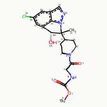 CC(C)(C)OC(=O)NCC(=O)N1CCC(C2(C)[C@H](O)c3cc(Cl)cc4cnn2c34)CC1